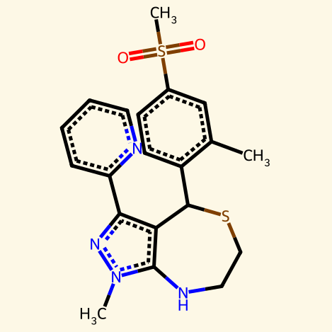 Cc1cc(S(C)(=O)=O)ccc1C1SCCNc2c1c(-c1ccccn1)nn2C